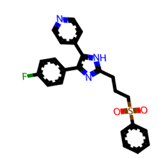 O=S(=O)(CCCc1nc(-c2ccc(F)cc2)c(-c2ccncc2)[nH]1)c1ccccc1